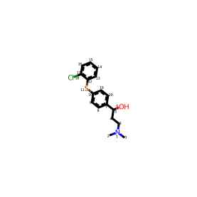 CN(C)CCC(O)c1ccc(Sc2ccccc2Cl)cc1